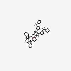 CC1(C)c2ccccc2-c2ccc(-c3nc4ccc(-n5c6ccccc6c6ccc7c8ccccc8n(-c8ccccc8)c7c65)cc4nc3-c3ccc4c(c3)C(C)(C)c3ccccc3-4)cc21